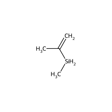 C=C(C)[SiH2]C